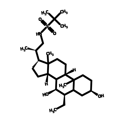 CC[C@@H]1C2C[C@H](O)CCC2(C)[C@H]2CCC3(C)[C@@H]([C@H](C)CNS(=O)(=O)C(C)(C)C)CC[C@H]3C2[C@@H]1O